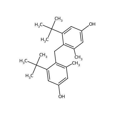 Cc1cc(O)cc(C(C)(C)C)c1Cc1c(C)cc(O)cc1C(C)(C)C